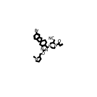 C=CC(=O)N1CCN(c2nc(OCC3CCCN3C)nc3c2CCC2(Cc4ccc(Br)cc4C2)C3)CC1CC#N